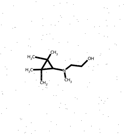 CN(CCO)C1C(C)(C)C1(C)C